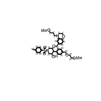 COCCCN1CCOc2ccc(COC3CN(S(=O)(=O)c4ccc(C)cc4)C[C@@H](O)C3c3ccc(COCCOC)cc3)cc21